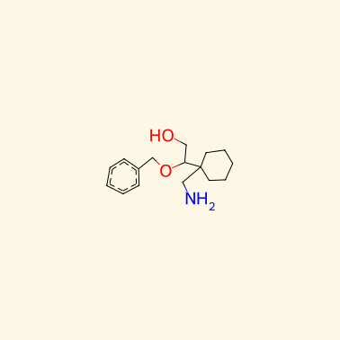 NCC1(C(CO)OCc2ccccc2)CCCCC1